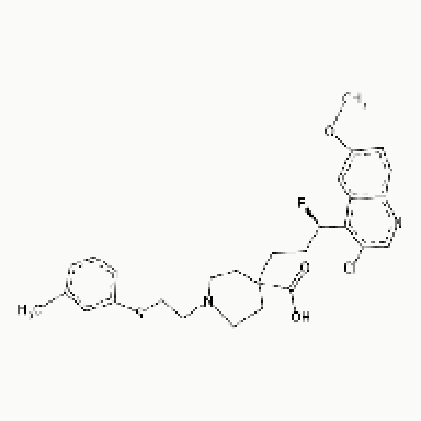 COc1ccc2ncc(Cl)c([C@H](F)CCC3(C(=O)O)CCN(CCSc4cccc(C)c4)CC3)c2c1